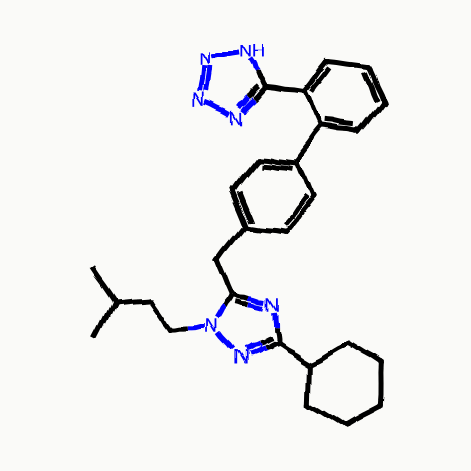 CC(C)CCn1nc(C2CCCCC2)nc1Cc1ccc(-c2ccccc2-c2nnn[nH]2)cc1